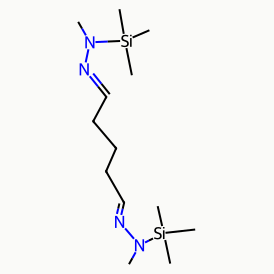 CN(N=CCCCC=NN(C)[Si](C)(C)C)[Si](C)(C)C